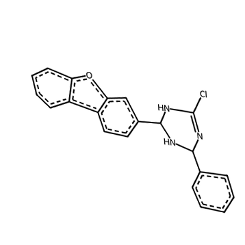 ClC1=NC(c2ccccc2)NC(c2ccc3c(c2)oc2ccccc23)N1